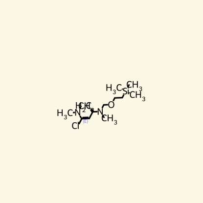 C=C(/C=C(/Cl)N(C)C)N(C)COCC[Si](C)(C)C